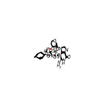 Cc1ccc(S(=O)(=O)C(C)(C)OP(O)(=S)OC2C3OCC[C@]2(CC(C)C)O[C@H]3n2cnc3c(=O)[nH]c(N)nc32)cc1